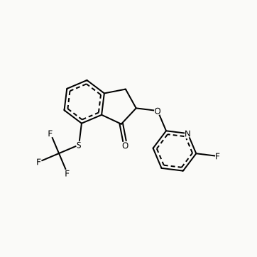 O=C1c2c(cccc2SC(F)(F)F)CC1Oc1cccc(F)n1